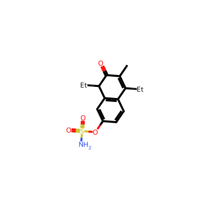 CCC1=C(C)C(=O)C(CC)c2cc(OS(N)(=O)=O)ccc21